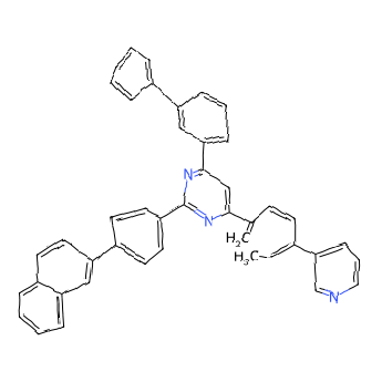 C=C(/C=C\C(=C/C)c1cccnc1)c1cc(-c2cccc(-c3ccccc3)c2)nc(-c2ccc(-c3ccc4ccccc4c3)cc2)n1